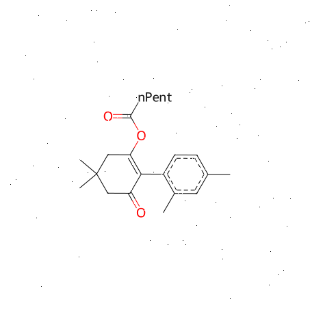 CCCCCC(=O)OC1=C(c2ccc(C)cc2C)C(=O)CC(C)(C)C1